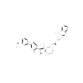 Cc1cc(-c2cccc(S(C)(=O)=O)c2)c(Cl)cc1C1=C(N)C2(CCCN(CC(=O)NCc3nc4ccccc4[nH]3)C2)OC1=O